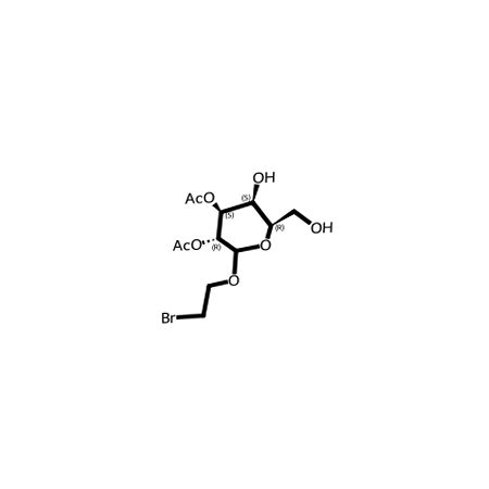 CC(=O)O[C@H]1[C@@H](O)[C@@H](CO)OC(OCCBr)[C@@H]1OC(C)=O